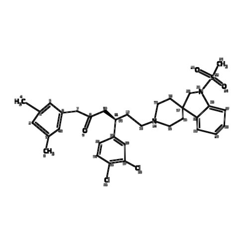 Cc1cc(C)cc(CC(=O)C[C@@H](CCN2CCC3(CC2)CN(S(C)(=O)=O)c2ccccc23)c2ccc(Cl)c(Cl)c2)c1